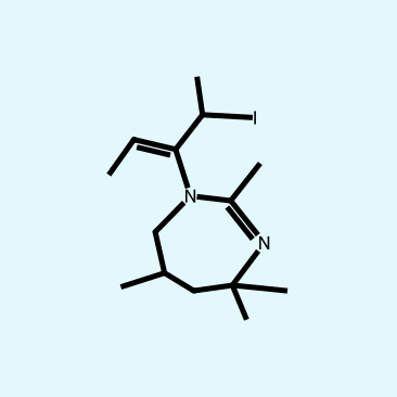 C/C=C(/C(C)I)N1CC(C)CC(C)(C)N=C1C